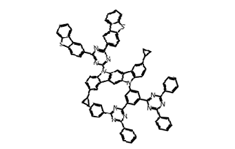 c1ccc(-c2nc(-c3ccccc3)nc(-c3cc(-c4nc(-c5ccccc5)nc(-c5ccccc5)n4)cc(-n4c5ccc(C6CC6)cc5c5cc6c(cc54)c4cc(C5CC5)ccc4n6-c4nc(-c5ccc6sc7ccccc7c6c5)nc(-c5ccc6sc7ccccc7c6c5)n4)c3)n2)cc1